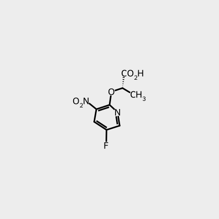 C[C@H](Oc1ncc(F)cc1[N+](=O)[O-])C(=O)O